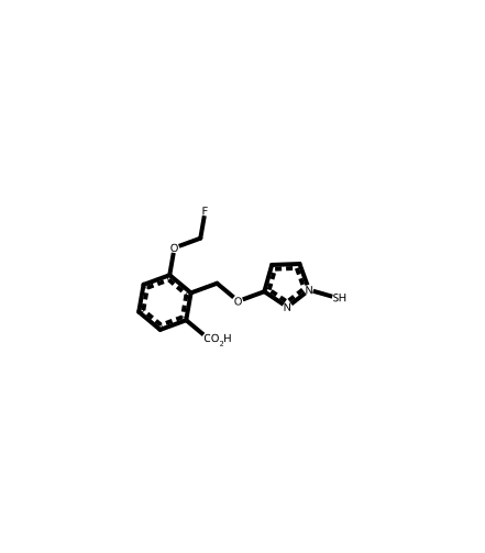 O=C(O)c1cccc(OCF)c1COc1ccn(S)n1